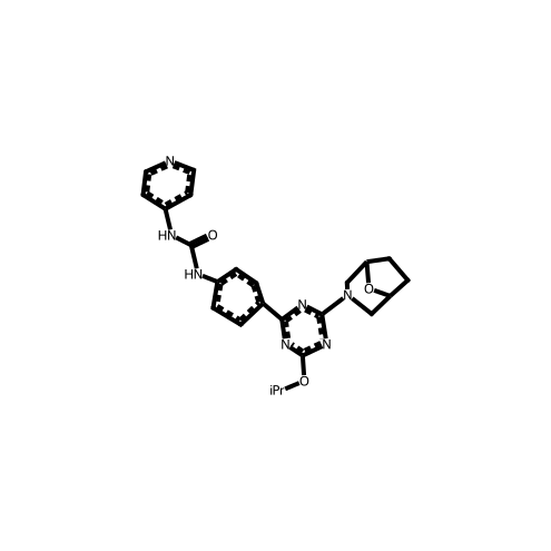 CC(C)Oc1nc(-c2ccc(NC(=O)Nc3ccncc3)cc2)nc(N2CC3CCC(C2)O3)n1